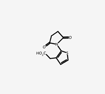 O=C(O)Cc1ccsc1N1C(=O)CCC1=O